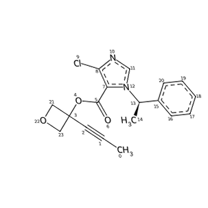 CC#CC1(OC(=O)c2c(Cl)ncn2[C@H](C)c2ccccc2)COC1